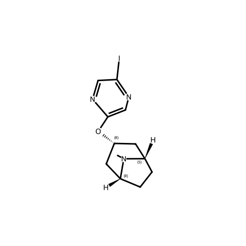 CN1[C@@H]2CC[C@H]1C[C@@H](Oc1cnc(I)cn1)C2